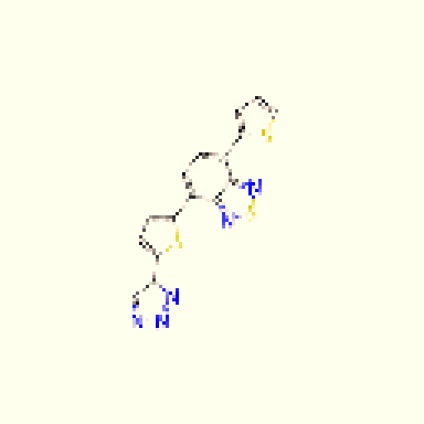 C1=NN=NC1c1ccc(-c2ccc(-c3cccs3)c3nsnc23)s1